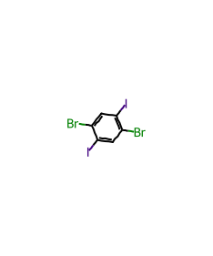 Brc1cc(I)c(Br)cc1I